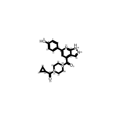 O=C(c1cc(-c2ccc(O)cc2)nc2[nH]ncc12)N1CCN(C(=O)C2CC2)CC1